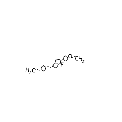 C=CCOc1ccc(-c2ccc3cc(CCc4ccc(CCC)cc4)ccc3c2F)cc1